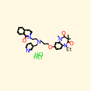 CCN1C(=O)C(C)(C)C(=O)N(C)c2cc(OCCCN(CCn3ccc4ccccc4c3=O)Cc3cccnc3)ccc21.Cl.Cl